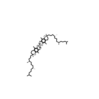 Cc1c(C)c2c(c(C)c1OS(=O)(=O)Oc1c(C)c(C)c3c(c1C)CC[C@@](C)(CCC[C@H](C)CCC[C@H](C)CCCC(C)C)O3)CC[C@@](C)(CCC[C@H](C)CCC[C@H](C)CCCC(C)C)O2